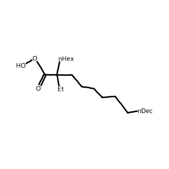 CCCCCCCCCCCCCCCCC(CC)(CCCCCC)C(=O)OO